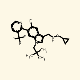 CC(C)(C)Cn1cc(CNSC2CC2)c2cc(F)c(-c3ncccc3C(F)(F)F)cc21